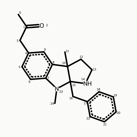 CC(=O)Cc1ccc2c(c1)C1(C)CCNC1(Cc1ccccc1)N2C